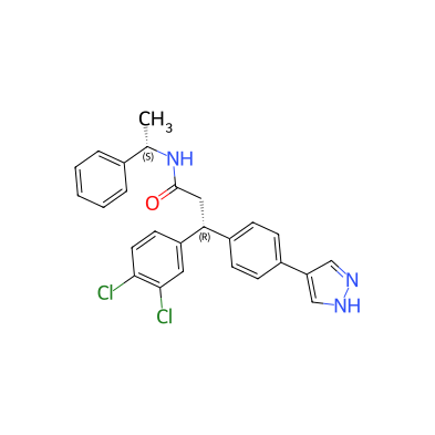 C[C@H](NC(=O)C[C@H](c1ccc(-c2cn[nH]c2)cc1)c1ccc(Cl)c(Cl)c1)c1ccccc1